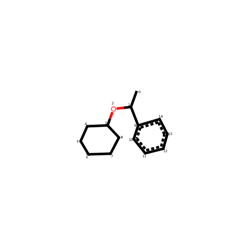 CC(OC1CC[CH]CC1)c1ccccc1